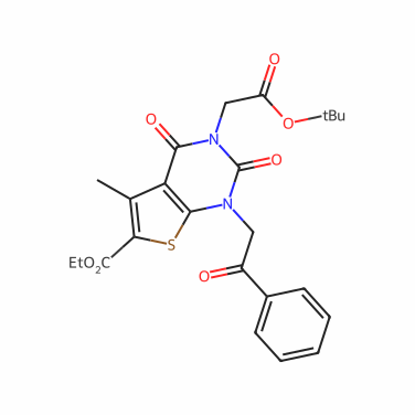 CCOC(=O)c1sc2c(c1C)c(=O)n(CC(=O)OC(C)(C)C)c(=O)n2CC(=O)c1ccccc1